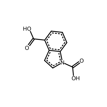 O=C(O)c1cccc2c1ccn2C(=O)O